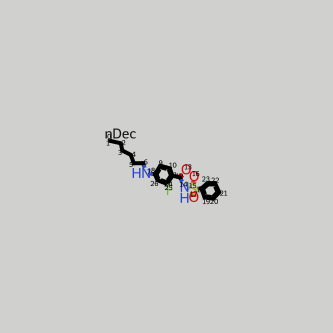 CCCCCCCCCCCCCCCCNc1ccc(C(=O)NS(=O)(=O)c2ccccc2)c(F)c1